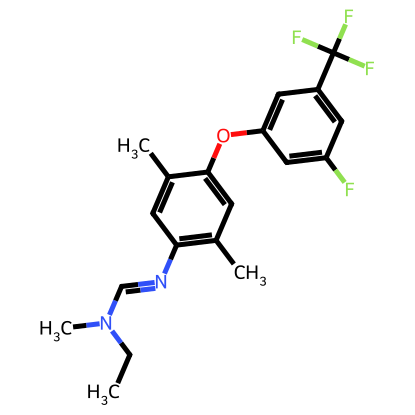 CCN(C)/C=N/c1cc(C)c(Oc2cc(F)cc(C(F)(F)F)c2)cc1C